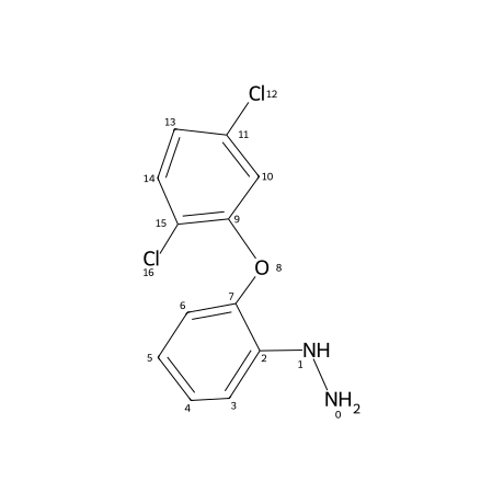 NNc1ccccc1Oc1cc(Cl)ccc1Cl